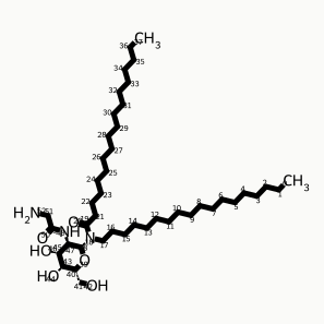 CCCCCCCCCCCCCCCCCCN(C(=O)CCCCCCCCCCCCCCCCC)[C@@H]1O[C@H](CO)[C@H](O)[C@H](O)[C@H]1NC(=O)CN